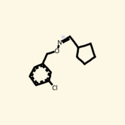 Clc1cccc(CO/N=[C]\C2CCCC2)c1